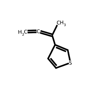 C=C=C(C)c1ccsc1